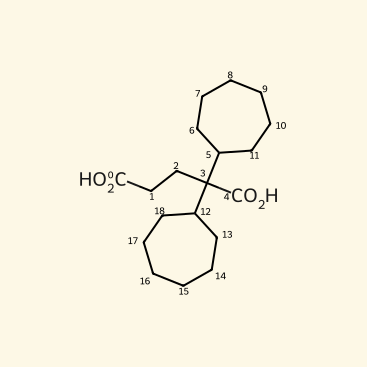 O=C(O)CCC(C(=O)O)(C1CCCCCC1)C1CCCCCC1